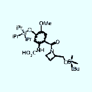 COc1cc(C(=O)N2CCC2CO[Si](C)(C)C(C)(C)C)c(NC(=O)O)cc1O[Si](C(C)C)(C(C)C)C(C)C